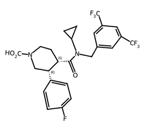 O=C(O)N1CC[C@H](C(=O)N(Cc2cc(C(F)(F)F)cc(C(F)(F)F)c2)C2CC2)[C@H](c2ccc(F)cc2)C1